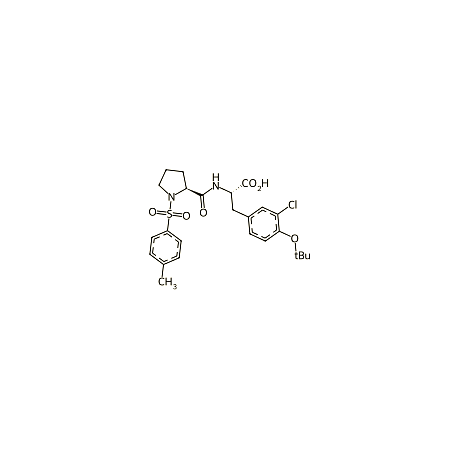 Cc1ccc(S(=O)(=O)N2CCC[C@H]2C(=O)N[C@@H](Cc2ccc(OC(C)(C)C)c(Cl)c2)C(=O)O)cc1